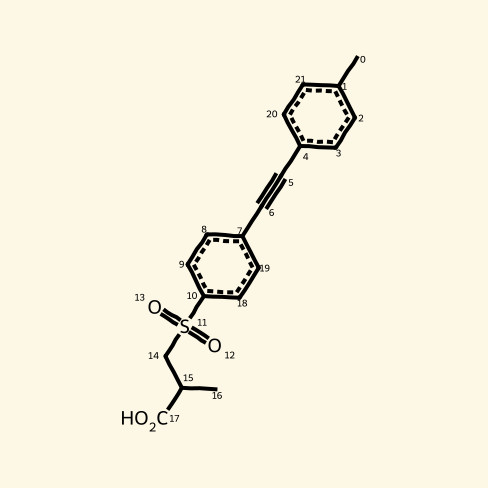 Cc1ccc(C#Cc2ccc(S(=O)(=O)CC(C)C(=O)O)cc2)cc1